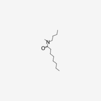 CCCCCCCC(=O)N(C)CCCC